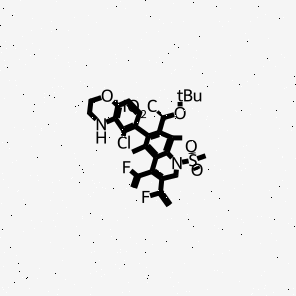 C=C(F)C1=C(C(=C)F)c2c(C)c(-c3ccc4c(c3Cl)NCCO4)c([C@H](OC(C)(C)C)C(=O)O)c(C)c2N(S(C)(=O)=O)C1